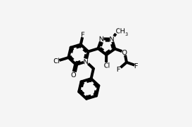 Cn1nc(-c2c(F)cc(Cl)c(=O)n2Cc2ccccc2)c(Cl)c1OC(F)F